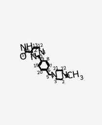 CN1CCN(Cc2ccc(-c3nccc(C(N)=O)n3)cc2)CC1